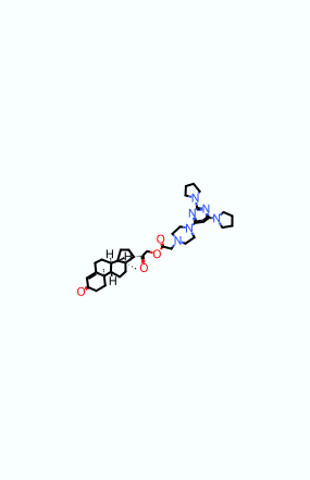 C[C@]12CC[C@H]3[C@@H](CCC4=CC(=O)CC[C@@]43C)[C@@H]1CC[C@@H]2C(=O)COC(=O)CN1CCN(c2cc(N3CCCC3)nc(N3CCCC3)n2)CC1